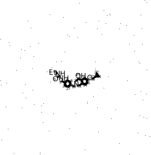 CCNC(=O)NCc1ccc(CN2Cc3ccc(OCC4CC4)cc3C(O)C2)cc1